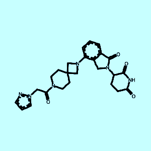 O=C1CCC(N2Cc3c(cccc3N3CC4(CCN(C(=O)Cn5cccn5)CC4)C3)C2=O)C(=O)N1